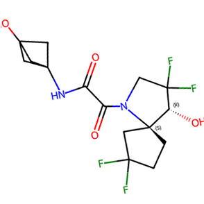 O=C(NC12CC(O)(C1)C2)C(=O)N1CC(F)(F)[C@H](O)[C@@]12CCC(F)(F)C2